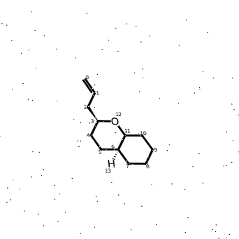 C=CC[C@@H]1CC[C@@H]2CCCCC2O1